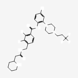 O=C(CC1CCCCN1)NCc1ccc(C(=O)Nc2ccc(Cl)cc2N2CCN(CCC(F)(F)F)CC2)c(F)c1F